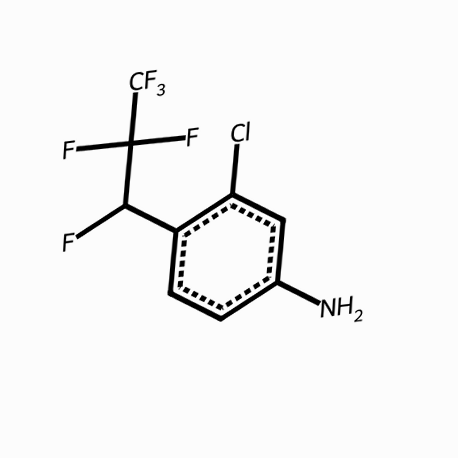 Nc1ccc(C(F)C(F)(F)C(F)(F)F)c(Cl)c1